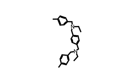 CCN(Cc1ccc(C)cc1)Cc1ccc(CN(CC)Cc2ccc(C)cc2)cc1